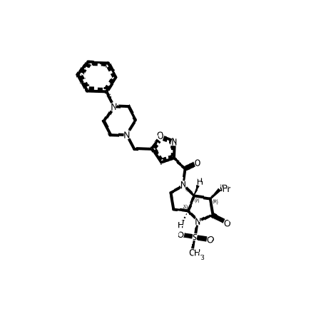 CC(C)[C@H]1C(=O)N(S(C)(=O)=O)[C@H]2CCN(C(=O)c3cc(CN4CCN(c5ccccc5)CC4)on3)[C@H]12